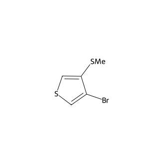 CSc1cscc1Br